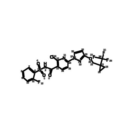 O=C(NS(=O)(=O)c1ccccc1F)c1ccc(-n2ccc(OCC3(C(F)(F)F)CC3)n2)nc1Cl